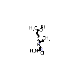 C=C/C(=N\C=C(/N)Cl)SCCC(=C)OCC